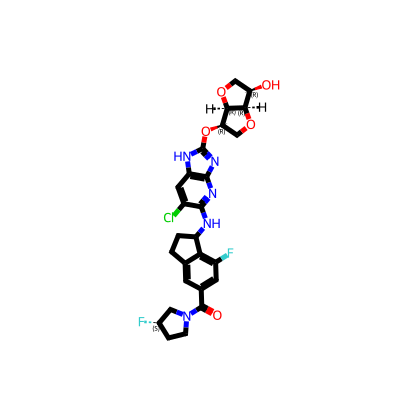 O=C(c1cc(F)c2c(c1)CCC2Nc1nc2nc(O[C@@H]3CO[C@H]4[C@@H]3OC[C@H]4O)[nH]c2cc1Cl)N1CC[C@H](F)C1